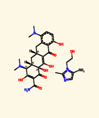 CN(C)c1ccc(O)c2c1C[C@H]1C[C@H]3[C@H](N(C)C)C(O)=C(C(N)=O)C(=O)[C@@]3(O)C(O)=C1C2=O.Cc1ncc([N+](=O)[O-])n1CCO